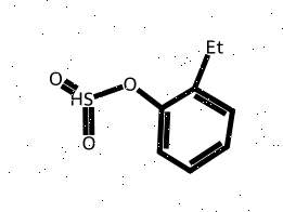 CCc1ccccc1O[SH](=O)=O